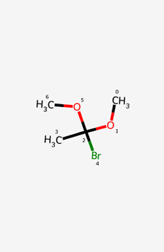 COC(C)(Br)OC